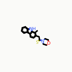 Cc1c(CC(=S)N2CCOCC2)ccc2c1[nH]c1ccccc12